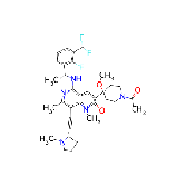 COC1(c2cc3c(N[C@H](C)c4cccc(C(F)F)c4F)nc(C)c(C#C[C@@H]4CCCN4C)c3n(C)c2=O)CCN(C(C)=O)CC1